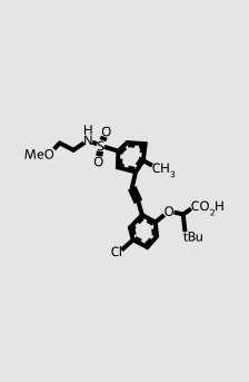 COCCNS(=O)(=O)c1ccc(C)c(C#Cc2cc(Cl)ccc2OC(C(=O)O)C(C)(C)C)c1